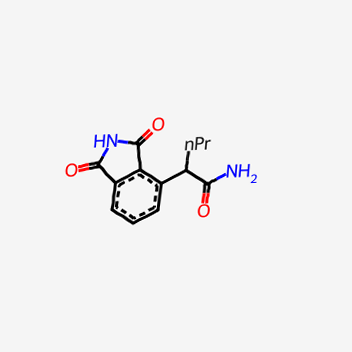 CCCC(C(N)=O)c1cccc2c1C(=O)NC2=O